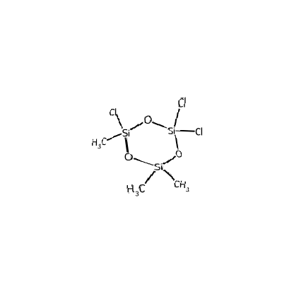 C[Si]1(C)O[Si](C)(Cl)O[Si](Cl)(Cl)O1